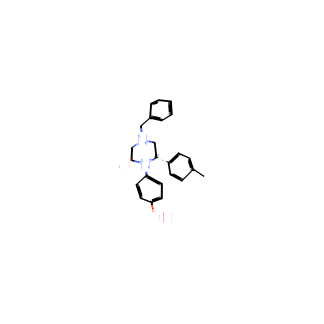 Cc1ccc([C@@H]2CN(Cc3ccccc3)CC(=O)N2c2ccc(O)cc2)cc1